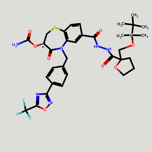 CC(C)(C)[Si](C)(C)OCC1(C(=O)NNC(=O)c2ccc3c(c2)N(Cc2ccc(-c4noc(C(F)(F)F)n4)cc2)C(=O)[C@@H](OC(N)=O)CS3)CCCO1